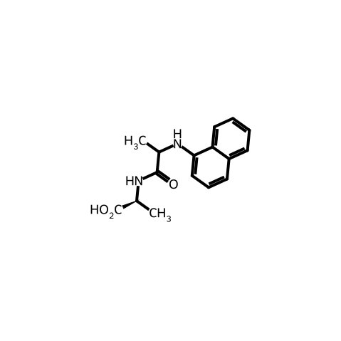 CC(Nc1cccc2ccccc12)C(=O)N[C@@H](C)C(=O)O